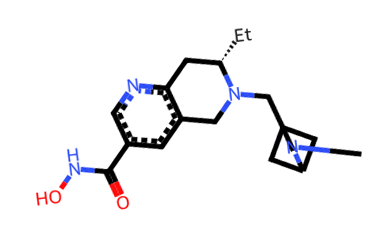 CC[C@H]1Cc2ncc(C(=O)NO)cc2CN1CC12CC(C1)N(C)C2